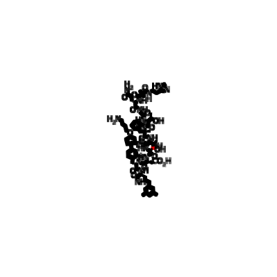 CCc1cc(OCCCCN)ccc1-c1ccc(C[C@H](NC(=O)[C@H](CC(=O)O)NC(=O)[C@H](CO)NC(=O)[C@@H](NC(=O)[C@](C)(Cc2ccccc2F)NC(=O)[C@@H](NC(=O)CNC(=O)[C@H](CCC(N)=O)NC(=O)C(C)(C)C(=O)NCCc2cnc[nH]2)[C@@H](C)O)[C@@H](C)O)C(=O)N[C@@H](CCCc2cc(C)cc(C)c2)C(N)=O)cc1